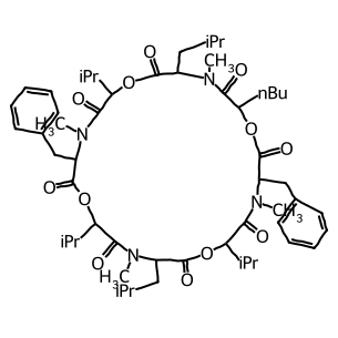 CCCCC1OC(=O)C(Cc2ccccc2)N(C)C(=O)C(C(C)C)OC(=O)C(CC(C)C)N(C)C(=O)C(C(C)C)OC(=O)C(Cc2ccccc2)N(C)C(=O)C(C(C)C)OC(=O)C(CC(C)C)N(C)C1=O